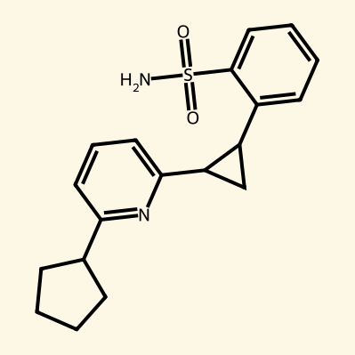 NS(=O)(=O)c1ccccc1C1CC1c1cccc(C2CCCC2)n1